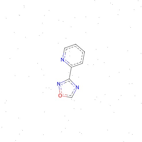 c1ccc(-c2ncon2)nc1